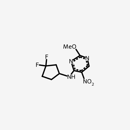 COc1ncc([N+](=O)[O-])c(NC2CCC(F)(F)C2)n1